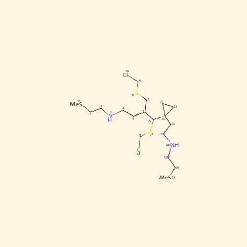 CSCCNCCC(CSCCl)C(SCCl)C1(CCNCCSC)CC1